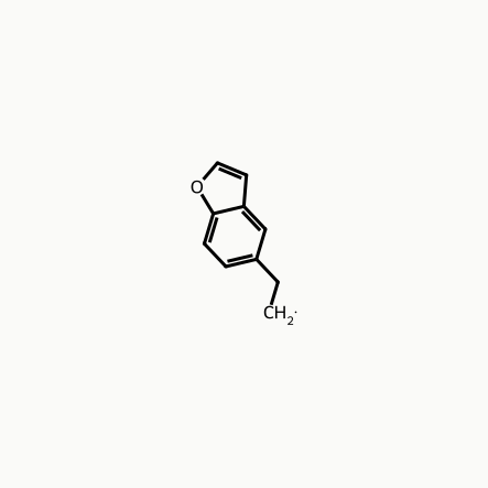 [CH2]Cc1ccc2occc2c1